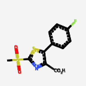 CS(=O)(=O)c1nc(C(=O)O)c(-c2ccc(F)cc2)s1